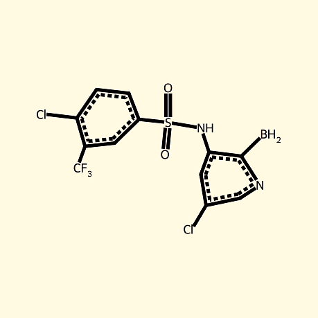 Bc1ncc(Cl)cc1NS(=O)(=O)c1ccc(Cl)c(C(F)(F)F)c1